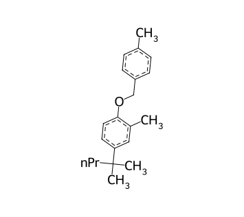 CCCC(C)(C)c1ccc(OCc2ccc(C)cc2)c(C)c1